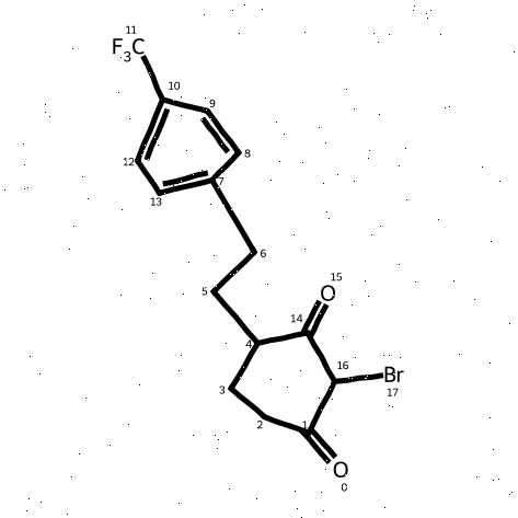 O=C1CCC(CCc2ccc(C(F)(F)F)cc2)C(=O)C1Br